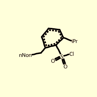 CCCCCCCCCCc1cccc(C(C)C)c1S(=O)(=O)Cl